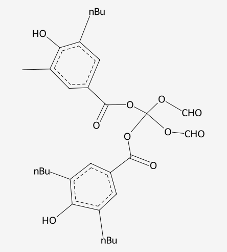 CCCCc1cc(C(=O)OC(OC=O)(OC=O)OC(=O)c2cc(CCCC)c(O)c(CCCC)c2)cc(C)c1O